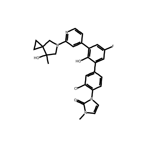 Cn1ccn(-c2ccc(-c3cc(F)cc(-c4ccnc(N5CC(C)(O)C6(CC6)C5)c4)c3O)cc2Cl)c1=O